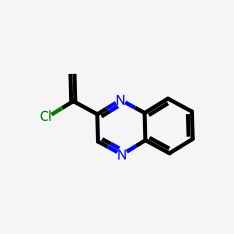 C=C(Cl)c1cnc2ccccc2n1